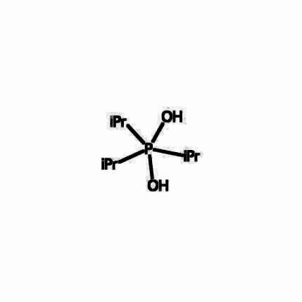 CC(C)P(O)(O)(C(C)C)C(C)C